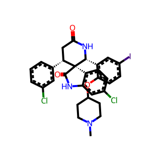 CN1CCC(Oc2ccc(I)cc2[C@H]2NC(=O)C[C@@H](c3cccc(Cl)c3)[C@]23C(=O)Nc2cc(Cl)ccc23)CC1